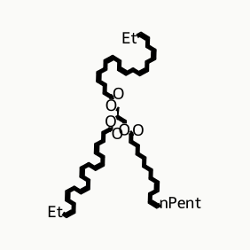 CC/C=C\C/C=C\C/C=C\C/C=C\C/C=C\C/C=C\CCC(=O)OC[C@@H](COC(=O)CCCCCCC/C=C\C/C=C\CCCCC)OC(=O)CC/C=C\C/C=C\C/C=C\C/C=C\C/C=C\C/C=C\CC